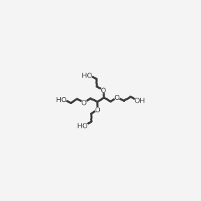 OCCOCC(OCCO)C(COCCO)OCCO